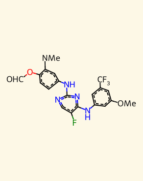 CNc1cc(Nc2ncc(F)c(Nc3cc(OC)cc(C(F)(F)F)c3)n2)ccc1OC=O